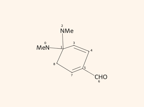 CNC1(NC)C=CC(C=O)=CC1